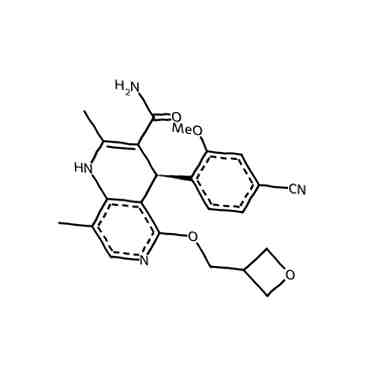 COc1cc(C#N)ccc1[C@@H]1C(C(N)=O)=C(C)Nc2c(C)cnc(OCC3COC3)c21